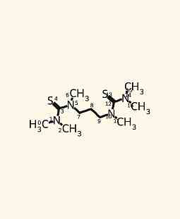 CN(C)C(=S)N(C)CCCN(C)C(=S)N(C)C